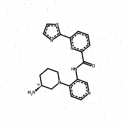 N[C@H]1CCCN(c2ccncc2NC(=O)c2cccc(-c3nccs3)n2)C1